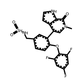 Cn1cc(-c2cc(CN[SH](=O)=O)ccc2Oc2c(F)cc(F)cc2F)c2cc[nH]c2c1=O